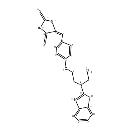 CCN(CCOc1ccc(/C=C2/SC(=O)NC2=O)cc1)c1nc2ccccc2s1